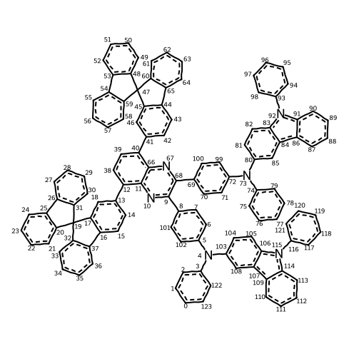 c1ccc(N(c2ccc(-c3nc4c(-c5ccc6c(c5)C5(c7ccccc7-c7ccccc75)c5ccccc5-6)ccc(-c5ccc6c(c5)C5(c7ccccc7-c7ccccc75)c5ccccc5-6)c4nc3-c3ccc(N(c4ccccc4)c4ccc5c(c4)c4ccccc4n5-c4ccccc4)cc3)cc2)c2ccc3c(c2)c2ccccc2n3-c2ccccc2)cc1